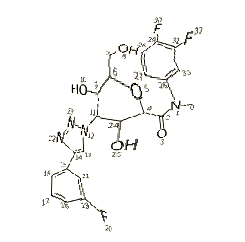 CN(C(=O)C1OC(CO)C(O)C(n2cc(-c3cccc(F)c3)nn2)C1O)c1ccc(F)c(F)c1